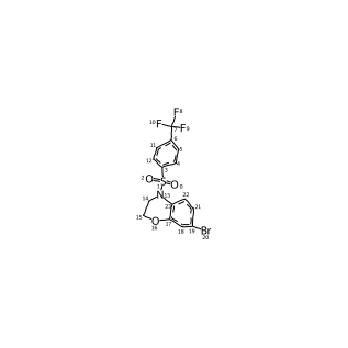 O=S(=O)(c1ccc(C(F)(F)F)cc1)N1CCOc2cc(Br)ccc21